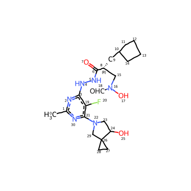 Cc1nc(NNC(=O)[C@H](CC2CCCC2)CN(O)C=O)c(F)c(N2CC(O)C3(CC3)C2)n1